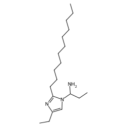 CCCCCCCCCCCc1nc(CC)cn1C(N)CC